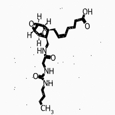 CCCCNC(=O)NCC(=O)NC[C@@H]1[C@H](C/C=C\CCCC(=O)O)[C@H]2O[C@@H]1[C@H]1O[C@H]12